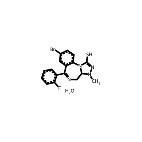 CN1N=C(S)N2c3ccc(Br)cc3C(c3ccccc3F)=NCC12.O